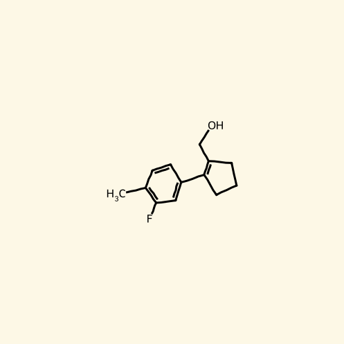 Cc1ccc(C2=C(CO)CCC2)cc1F